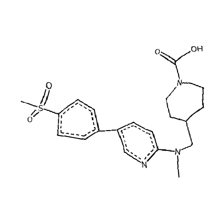 CN(CC1CCN(C(=O)O)CC1)c1ccc(-c2ccc(S(C)(=O)=O)cc2)cn1